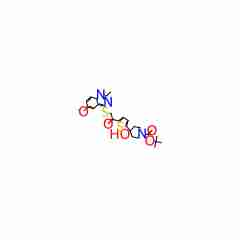 COc1ccc2nc(C)nc(SCC(=O)c3ccc(C4(O)CCN(C(=O)OC(C)(C)C)CC4)s3)c2c1